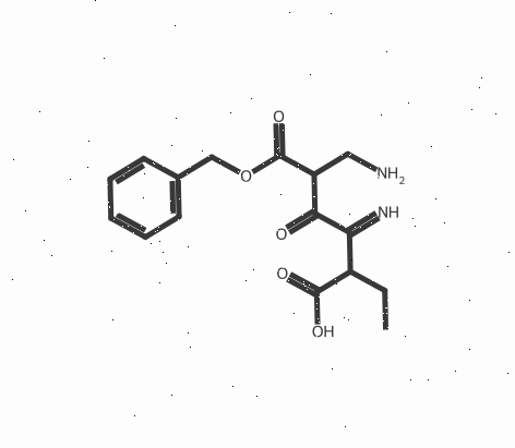 CCC(C(=N)C(=O)C(CN)C(=O)OCc1ccccc1)C(=O)O